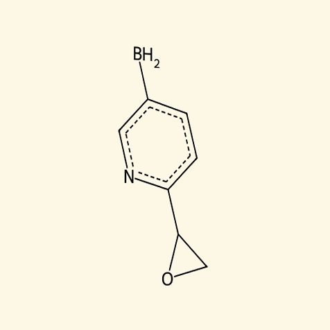 Bc1ccc(C2CO2)nc1